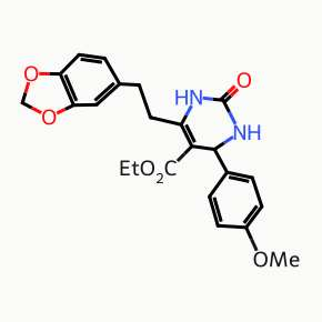 CCOC(=O)C1=C(CCc2ccc3c(c2)OCO3)NC(=O)NC1c1ccc(OC)cc1